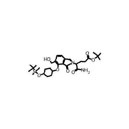 CC(C)(C)OC(=O)CCC(C(N)=O)N1Cc2ccc(CO)c(OC3CCC(O[Si](C)(C)C(C)(C)C)CC3)c2C1=O